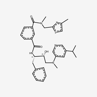 Cc1csc(CN(C)C(=O)c2cccc(C(=O)N[C@@H](Cc3ccccc3)[C@H](O)CN(C)c3cncc(C(C)C)c3)c2)n1